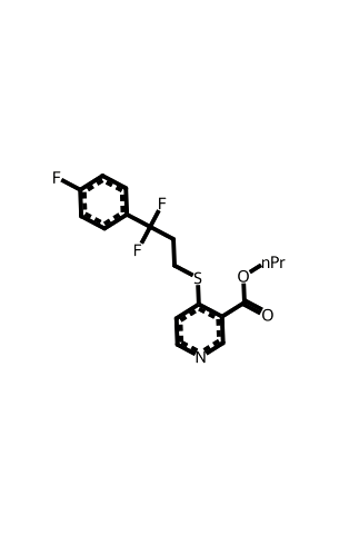 CCCOC(=O)c1cnccc1SCCC(F)(F)c1ccc(F)cc1